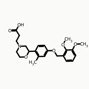 COc1cccc(COc2ccc(C3CN(CCC(=O)O)CCO3)c(C)c2)c1OC